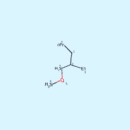 CCCCC(CC)[SiH2]O[SiH3]